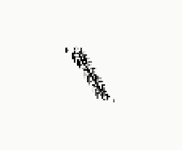 FC(F)(F)C(F)(F)C(F)(F)C(F)(F)C(F)(F)C(F)(F)C(F)(F)C(F)(F)C(F)(F)C(F)(F)C(F)(F)C(F)(F)C(F)(F)C(F)(I)C(F)(F)F